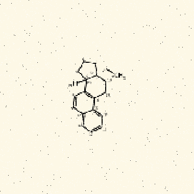 CC[C@@]12CCC[C@H]1c1ccc3ccccc3c1CC2